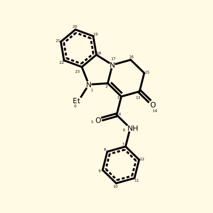 CCN1C2=C(C(=O)Nc3ccccc3)C(=O)CCN2c2ccccc21